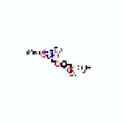 CCCCCOCCN(CCOc1ccc(CC(OCC)C(=O)O)cc1)C(=O)NC(C)CC